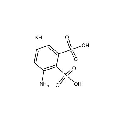 Nc1cccc(S(=O)(=O)O)c1S(=O)(=O)O.[KH]